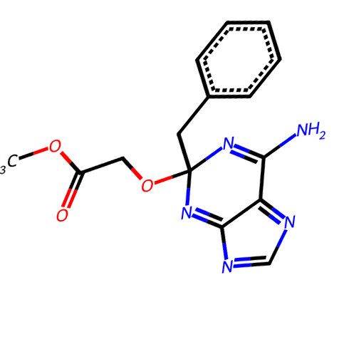 COC(=O)COC1(Cc2ccccc2)N=C(N)C2=NC=NC2=N1